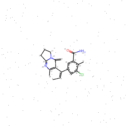 C=C1C(/C(=C\C)c2cc(Cl)c(C)c(C(N)=O)c2)=C(C)N=C2CCCN12